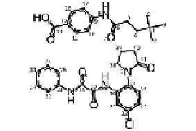 CC(C)(C)CCC(=O)Nc1ccc(C(=O)O)cc1.O=C(Nc1ccccc1)C(=O)Nc1cc(Cl)ccc1N1CCCC1=O